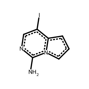 Nc1ncc(I)c2cccn12